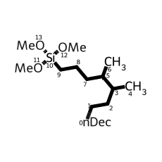 CCCCCCCCCCCCC(C)[C](C)CCC[Si](OC)(OC)OC